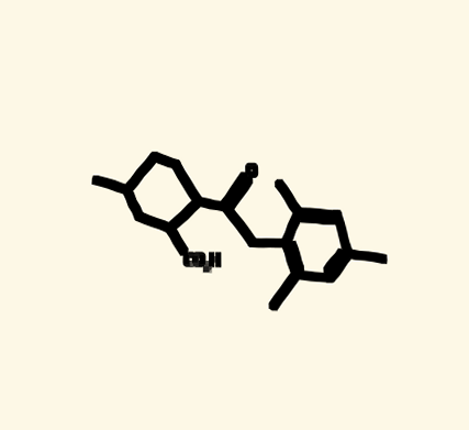 Cc1cc(C)c(CC(=O)C2CCC(C)CC2C(=O)O)c(C)c1